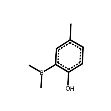 CB(C)c1cc(C)ccc1O